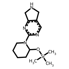 C[Si](C)(C)OC1CCCCN1c1ncc2c(n1)CNC2